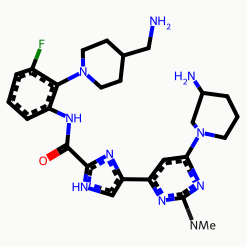 CNc1nc(-c2c[nH]c(C(=O)Nc3cccc(F)c3N3CCC(CN)CC3)n2)cc(N2CCCC(N)C2)n1